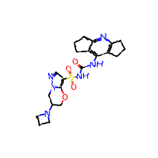 O=C(Nc1c2c(nc3c1CCC3)CCC2)NS(=O)(=O)c1cnn2c1OCC(N1CCC1)C2